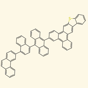 c1ccc2c(c1)ccc1ccc(-c3ccc(-c4c5ccccc5c(-c5ccc6c(c5)c5ccccc5c5cc7c(cc65)sc5ccccc57)c5ccccc45)c4ccccc34)cc12